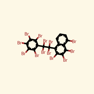 Brc1c(Br)c(Br)c(C(Br)(Br)C(Br)(Br)c2c(Br)c(Br)c(Br)c3c(Br)cccc23)c(Br)c1Br